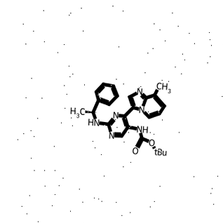 Cc1cccn2c(-c3nc(N[C@@H](C)c4ccccc4)ncc3NC(=O)OC(C)(C)C)cnc12